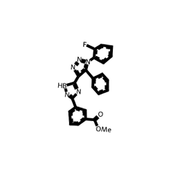 COC(=O)c1cccc(C2=NBC(c3nnn(-c4ccccc4F)c3-c3ccccc3)=N2)c1